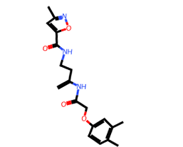 C=C(CCNC(=O)c1cc(C)no1)NC(=O)COc1ccc(C)c(C)c1